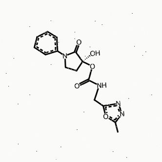 Cc1nnc(CNC(=O)O[C@@]2(O)CCN(c3ccccc3)C2=O)o1